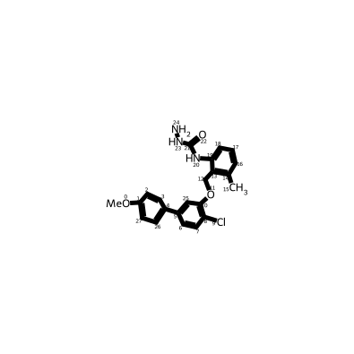 COc1ccc(-c2ccc(Cl)c(OCc3c(C)cccc3NC(=O)NN)c2)cc1